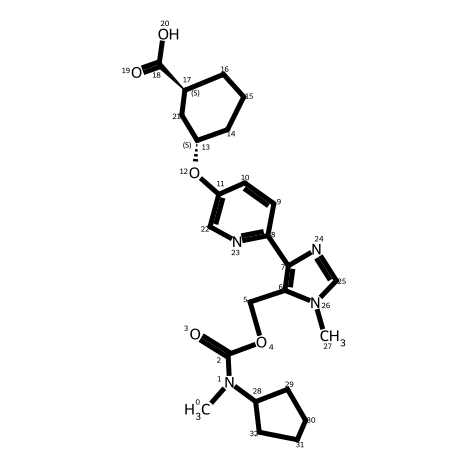 CN(C(=O)OCc1c(-c2ccc(O[C@H]3CCC[C@H](C(=O)O)C3)cn2)ncn1C)C1CCCC1